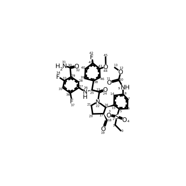 CCS(=O)(=O)c1ccc(NC(=O)OC)cc1[C@H]1[C@@H](C=O)CCN1C(=O)[C@H](Nc1cc(C(N)=O)c(F)cc1F)c1ccc(F)c(OC)c1